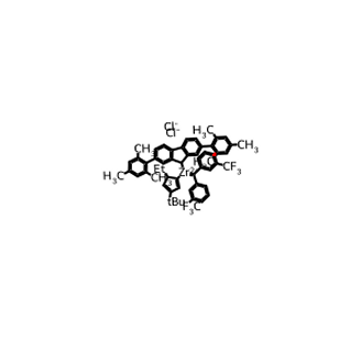 CCC1C=C(C(C)(C)C)C=[C]1[Zr+2](=[C](c1cccc(C(F)(F)F)c1)c1cccc(C(F)(F)F)c1)[CH]1c2cc(-c3c(C)cc(C)cc3C)ccc2-c2ccc(-c3c(C)cc(C)cc3C)cc21.[Cl-].[Cl-]